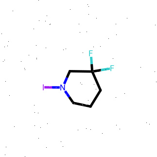 FC1(F)CCCN(I)C1